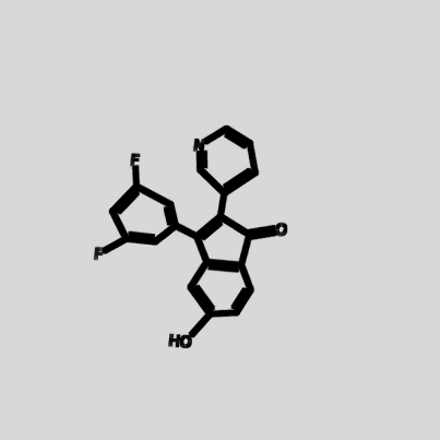 O=C1C(c2cccnc2)=C(c2cc(F)cc(F)c2)c2cc(O)ccc21